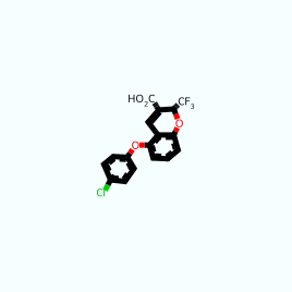 O=C(O)C1=Cc2c(Oc3ccc(Cl)cc3)cccc2OC1C(F)(F)F